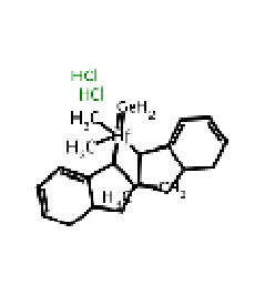 CC1CC2CC=CC=C2[CH]1[Hf]([CH3])([CH3])(=[GeH2])[CH]1C2=CC=CCC2CC1C.Cl.Cl